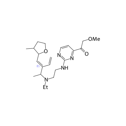 C=C/C(=C\C1OCCC1C)C(C)N(CC)CCNc1nccc(C(=O)COC)n1